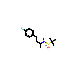 CC(CCc1ccc(F)cc1)N[S@+]([O-])C(C)(C)C